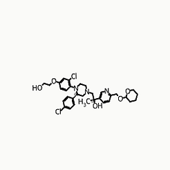 C[C@@](O)(CN1CCN(c2ccc(OCCO)cc2Cl)[C@H](c2ccc(Cl)cc2)C1)c1ccc(COC2CCCCO2)nc1